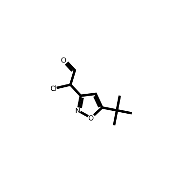 CC(C)(C)c1cc(C(Cl)C=O)no1